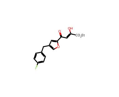 CCOC(=O)C(O)=CC(=O)c1cc(Cc2ccc(F)cc2)co1